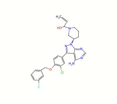 C=CC(O)N1CCC[C@@H](n2nc(-c3ccc(OCc4cccc(F)c4)c(Cl)c3)c3c(N)ncnc32)C1